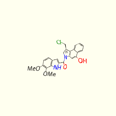 COc1ccc2cc(C(=O)N3C[C@@H](CCl)c4c3cc(O)c3ccccc43)[nH]c2c1OC